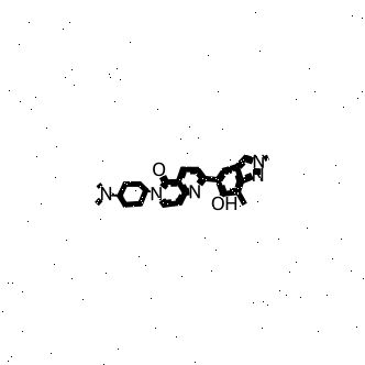 Cc1c(O)c(-c2ccc3c(=O)n([C@H]4CC[C@H](N(C)C)CC4)ccc3n2)cc2cn(C)nc12